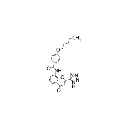 CCCCCOc1ccc(C(=O)Nc2cccc3c(=O)cc(-c4nnn[nH]4)oc23)cc1